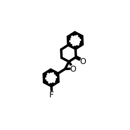 O=C1c2ccccc2CCC12OC2c1cccc(F)c1